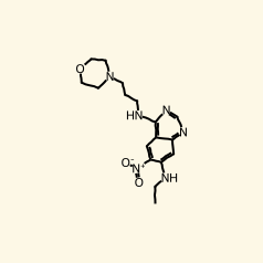 CCNc1cc2ncnc(NCCCN3CCOCC3)c2cc1[N+](=O)[O-]